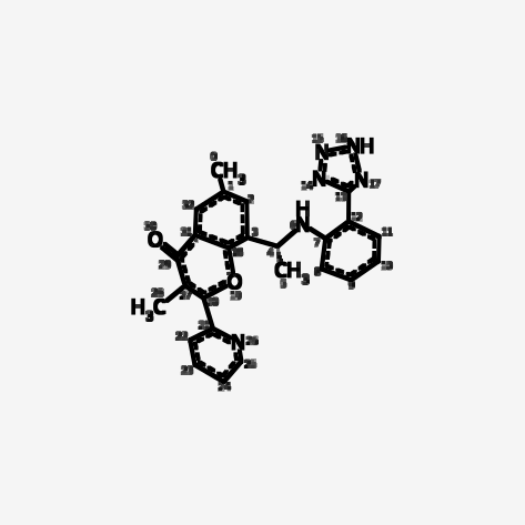 Cc1cc([C@@H](C)Nc2ccccc2-c2nn[nH]n2)c2oc(-c3ccccn3)c(C)c(=O)c2c1